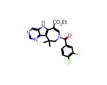 CCOC(=O)C1=CN(C(=O)c2ccc(F)c(F)c2)CC(C)(C)c2c1[nH]c1cncnc21